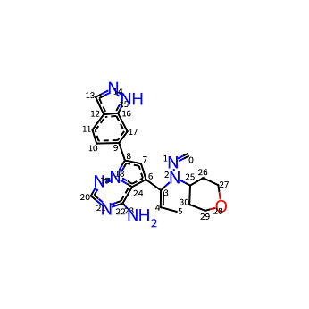 C=NN(/C(=C\C)c1cc(-c2ccc3cn[nH]c3c2)n2ncnc(N)c12)C1CCOCC1